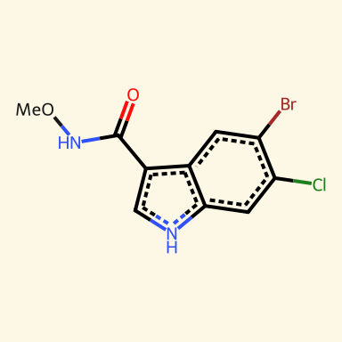 CONC(=O)c1c[nH]c2cc(Cl)c(Br)cc12